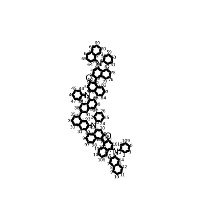 c1ccc(N(c2ccc3ccccc3c2)c2cc3oc4cc(N(c5ccccc5)c5ccc6cccc(-c7ccc8c(N(c9ccccc9)c9cc%10oc%11cc(N(c%12ccccc%12)c%12cccc%13ccccc%12%13)c%12ccccc%12c%11c%10c%10ccccc9%10)cccc8c7)c6c5)c5ccccc5c4c3c3ccccc23)cc1